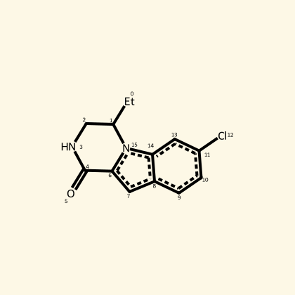 CCC1CNC(=O)c2cc3ccc(Cl)cc3n21